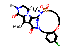 COc1c2n(c3c4nn(c(=O)c13)Cc1ccc(F)cc1OCCCCS(=O)(=O)N4C)[C@@H](C)CN(C(C)C)C2=O